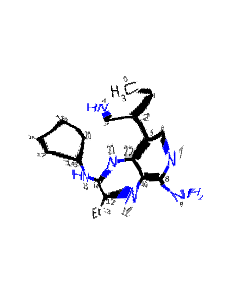 C/C=C(\C=N)c1cnc(N)c2nc(CC)c(NC3CCCC3)nc12